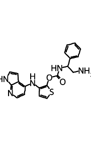 NCC(NC(=O)Oc1sccc1Nc1ccnc2[nH]ccc12)c1ccccc1